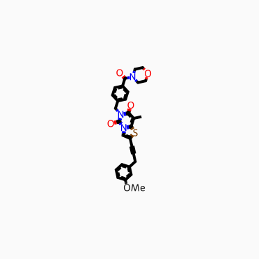 COc1cccc(CC#Cc2cn3c(=O)n(Cc4ccc(C(=O)N5CCOCC5)cc4)c(=O)c(C)c3s2)c1